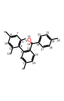 Cc1[c]c(-c2c(C)cc(C)cc2C)c(C(=O)c2ccc(C)cc2)cc1